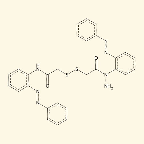 NN(C(=O)CSSCC(=O)Nc1ccccc1/N=N/c1ccccc1)c1ccccc1/N=N/c1ccccc1